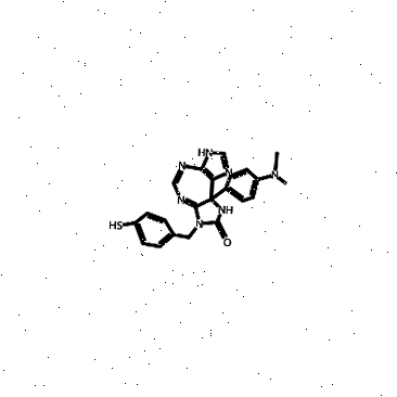 CN(C)c1ccc(C23NC(=O)N(Cc4ccc(S)cc4)C2=NC=Nc2[nH]cnc23)cc1